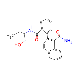 CCC(CO)NC(=O)c1ccccc1-c1ccc2ccccc2c1C(N)=O